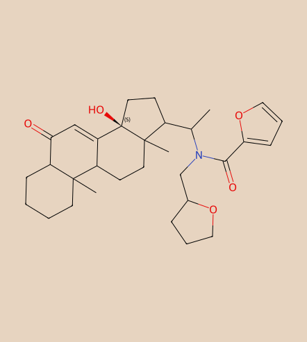 CC(C1CC[C@@]2(O)C3=CC(=O)C4CCCCC4(C)C3CCC12C)N(CC1CCCO1)C(=O)c1ccco1